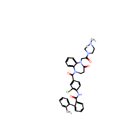 Cc1ccccc1-c1ccccc1C(=O)Nc1ccc(C(=O)N2CCC(=O)N(CC(=O)N3CCN(C)CC3)c3ccccc32)cc1Cl